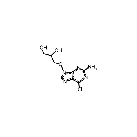 Nc1nc(Cl)c2ncn(OCC(O)CO)c2n1